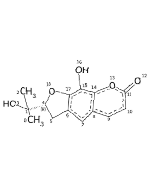 CC(C)(O)[C@H]1Cc2cc3ccc(=O)oc3c(O)c2O1